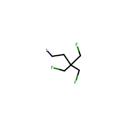 FCC(CF)(CF)CCI